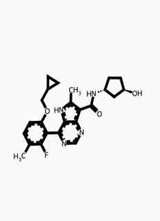 Cc1ccc(OCC2CC2)c(-c2ncnc3c(C(=O)N[C@@H]4CC[C@@H](O)C4)c(C)[nH]c23)c1F